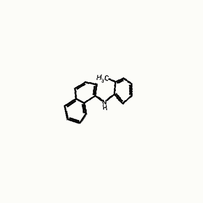 Cc1ccccc1Nc1cccc2ccccc12